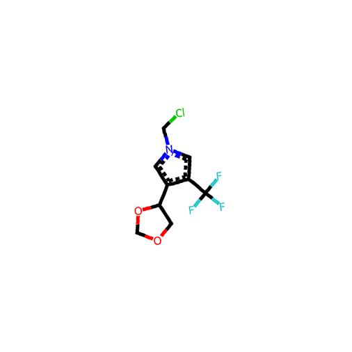 FC(F)(F)c1cn(CCl)cc1C1COCO1